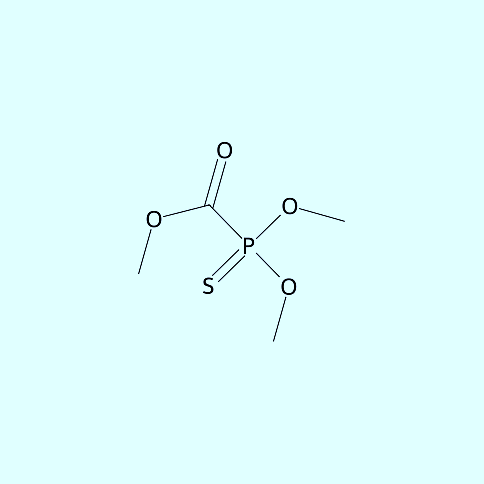 COC(=O)P(=S)(OC)OC